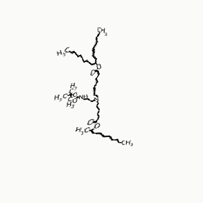 CCCCCCCCC(C)OC(=O)CCCCCN(CCCCCCCC(=O)OC(CCCCCCCC)CCCCCCCC)CCCNC(=O)OC(C)(C)C